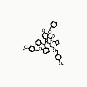 COc1ccc(COCCC2N(C3CCC3)C(=O)c3c(OCc4ccccc4)c(=O)ccn3N2C(c2ccccc2)c2ccccc2OCc2ccc(OC)cc2)cc1